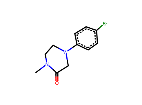 CN1CCN(c2ccc(Br)cc2)CC1=O